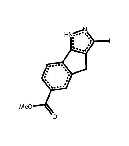 COC(=O)c1ccc2c(c1)Cc1c(I)n[nH]c1-2